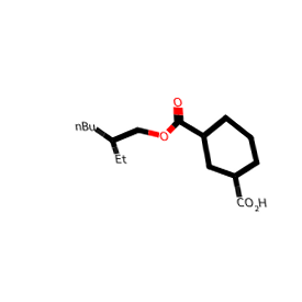 CCCCC(CC)COC(=O)C1CCCC(C(=O)O)C1